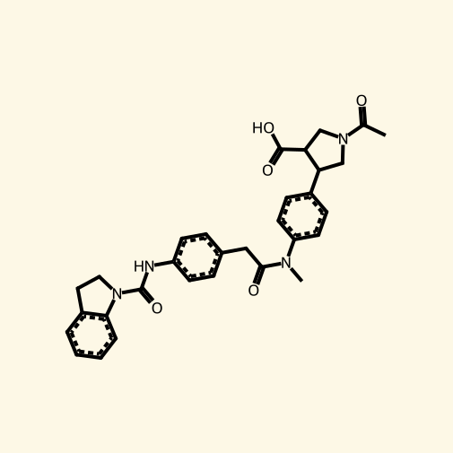 CC(=O)N1CC(C(=O)O)C(c2ccc(N(C)C(=O)Cc3ccc(NC(=O)N4CCc5ccccc54)cc3)cc2)C1